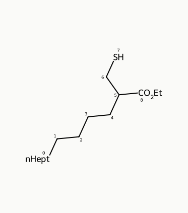 CCCCCCCCCCCC(CS)C(=O)OCC